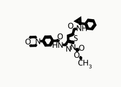 CCOC(=O)n1nc(NC(=O)c2ccc(N3CCOCC3)cc2)c2cc(C(=O)NC3(c4ccccc4)CC3)sc21